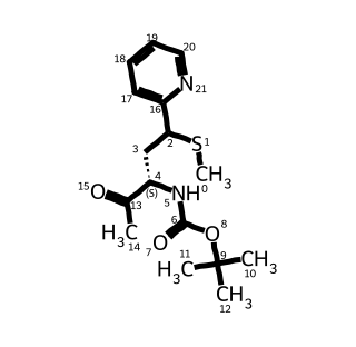 CSC(C[C@H](NC(=O)OC(C)(C)C)C(C)=O)c1ccccn1